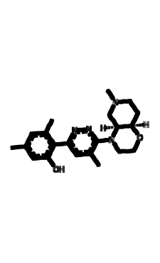 Cc1cc(C)c(-c2cc(C)c(N3CCO[C@@H]4CCN(C)C[C@@H]43)nn2)c(O)c1